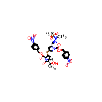 CC(O)[C@H]1C(=O)N2C(C(=O)OCc3ccc([N+](=O)[O-])cc3)=C(S[C@H]3C[C@@H](C=NN(C)S(C)(=O)=O)N(C(=O)OCc4ccc([N+](=O)[O-])cc4)C3)C[C@H]12